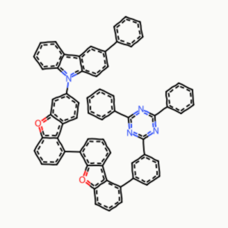 c1ccc(-c2ccc3c(c2)c2ccccc2n3-c2ccc3c(c2)oc2cccc(-c4cccc5c4oc4cccc(-c6cccc(-c7nc(-c8ccccc8)nc(-c8ccccc8)n7)c6)c45)c23)cc1